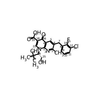 Cc1nc2c(cc1Cc1cccc(Cl)c1F)c(=O)c(C(=O)O)cn2[C@H](CO)C(C)(C)C